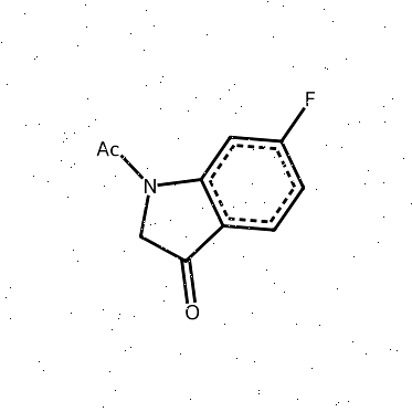 CC(=O)N1CC(=O)c2ccc(F)cc21